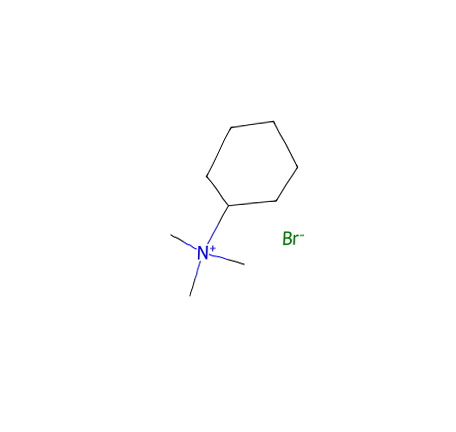 C[N+](C)(C)C1CCCCC1.[Br-]